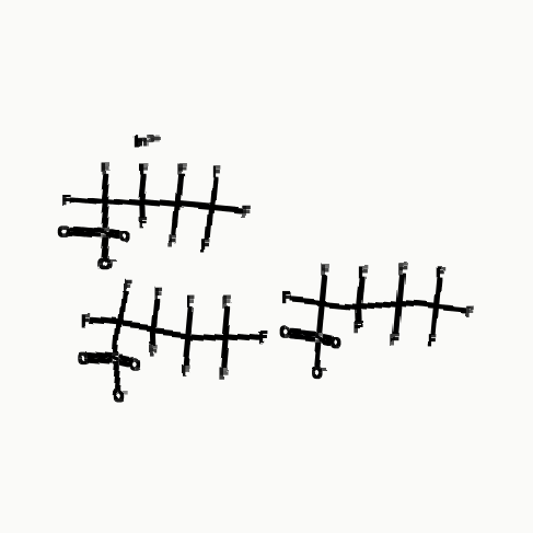 O=S(=O)([O-])C(F)(F)C(F)(F)C(F)(F)C(F)(F)F.O=S(=O)([O-])C(F)(F)C(F)(F)C(F)(F)C(F)(F)F.O=S(=O)([O-])C(F)(F)C(F)(F)C(F)(F)C(F)(F)F.[In+3]